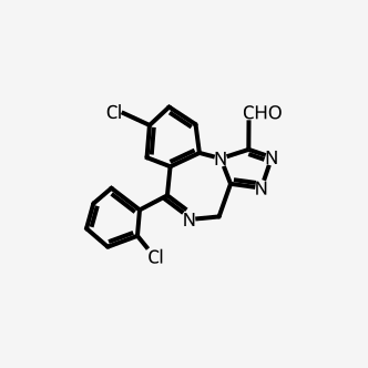 O=Cc1nnc2n1-c1ccc(Cl)cc1C(c1ccccc1Cl)=NC2